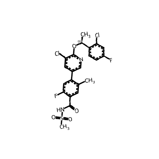 Cc1cc(C(=O)NS(C)(=O)=O)c(F)cc1-c1cnc(O[C@@H](C)c2ccc(F)cc2Cl)c(Cl)c1